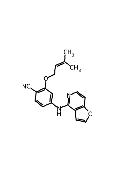 CC(C)=CCOc1cc(Nc2nccc3occc23)ccc1C#N